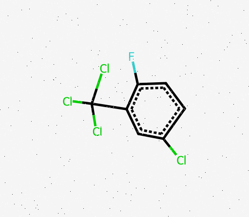 Fc1ccc(Cl)cc1C(Cl)(Cl)Cl